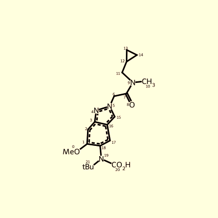 COc1cc2nn(CC(=O)N(C)CC3CC3)cc2cc1N(C(=O)O)C(C)(C)C